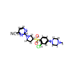 CN1CCN(c2ccc(S(=O)(=O)[C@H]3CCN(c4nccc(C#N)n4)C3)c(Cl)c2)CC1